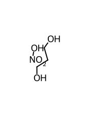 O=[N+]([O-])O.OCCCO